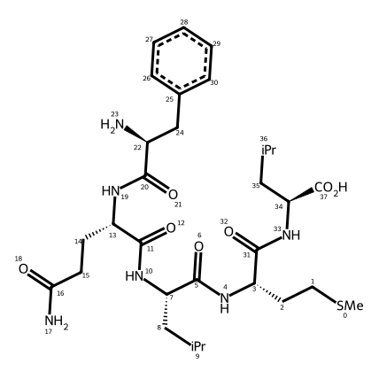 CSCC[C@H](NC(=O)[C@H](CC(C)C)NC(=O)[C@H](CCC(N)=O)NC(=O)[C@@H](N)Cc1ccccc1)C(=O)N[C@@H](CC(C)C)C(=O)O